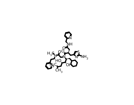 CC(C)C[C@H](O)[C@H](O)[C@H](CC1CCCCC1)N(CC(=O)N(C)CCc1ccccn1)C(=O)[C@@H](CC(=O)NCc1ccccn1)Cc1csc(N)n1